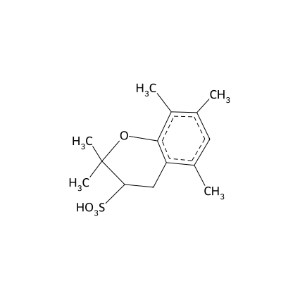 Cc1cc(C)c2c(c1C)OC(C)(C)C(S(=O)(=O)O)C2